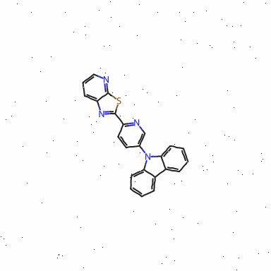 c1cnc2sc(-c3ccc(-n4c5ccccc5c5ccccc54)cn3)nc2c1